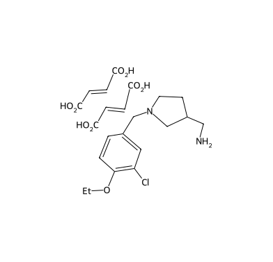 CCOc1ccc(CN2CCC(CN)C2)cc1Cl.O=C(O)/C=C/C(=O)O.O=C(O)/C=C/C(=O)O